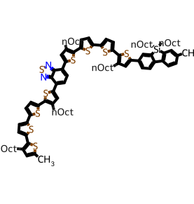 CCCCCCCCc1cc(C)sc1-c1ccc(-c2ccc(-c3sc(-c4ccc(-c5cc(CCCCCCCC)c(-c6ccc(-c7ccc(-c8sc(-c9ccc%10c(c9)[Si](CCCCCCCC)(CCCCCCCC)c9cc(C)ccc9-%10)cc8CCCCCCCC)s7)s6)s5)c5nsnc45)cc3CCCCCCCC)s2)s1